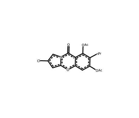 CCCc1c(OC(C)=O)cc2oc3cc(Cl)cn3c(=O)c2c1OC(C)=O